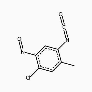 Cc1cc(Cl)c(N=O)cc1N=C=O